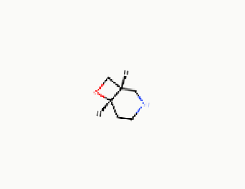 C1C[C@@H]2OC[C@@H]2CN1